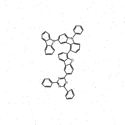 c1ccc(-c2nc(-c3ccccc3)nc(-c3ccc4oc5c(-c6cccc7c6c6cc(-n8c9ccccc9c9ccccc98)ccc6n7-c6ccccc6)cccc5c4c3)n2)cc1